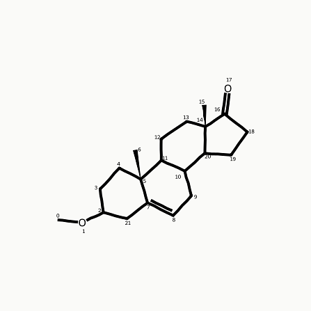 COC1CC[C@@]2(C)C(=CCC3C2CC[C@]2(C)C(=O)CCC32)C1